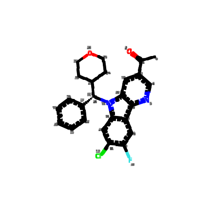 CC(=O)c1cnc2c3cc(F)c(Cl)cc3n([C@H](c3ccccc3)C3CCOCC3)c2c1